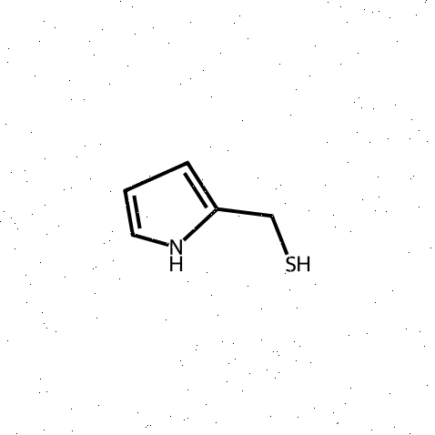 SCc1ccc[nH]1